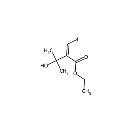 CCOC(=O)/C(=C\I)C(C)(C)O